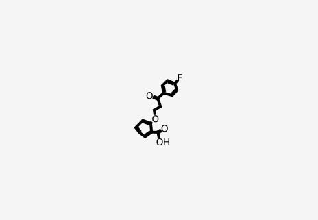 O=C(CCOc1ccccc1C(=O)O)c1ccc(F)cc1